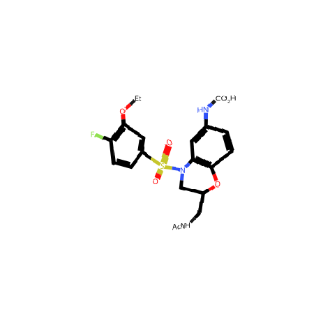 CCOc1cc(S(=O)(=O)N2CC(CNC(C)=O)Oc3ccc(NC(=O)O)cc32)ccc1F